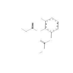 CCC(=O)Oc1c(O)cccc1NC(=O)OC